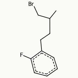 CC(CBr)CCc1ccccc1F